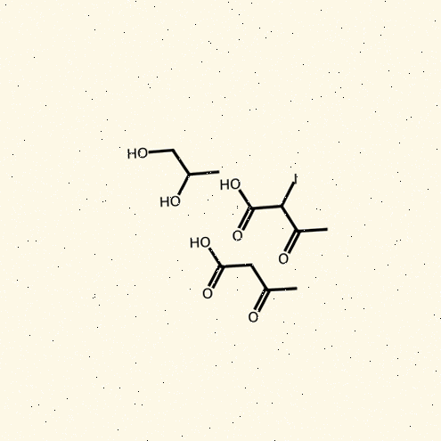 CC(=O)C(I)C(=O)O.CC(=O)CC(=O)O.CC(O)CO